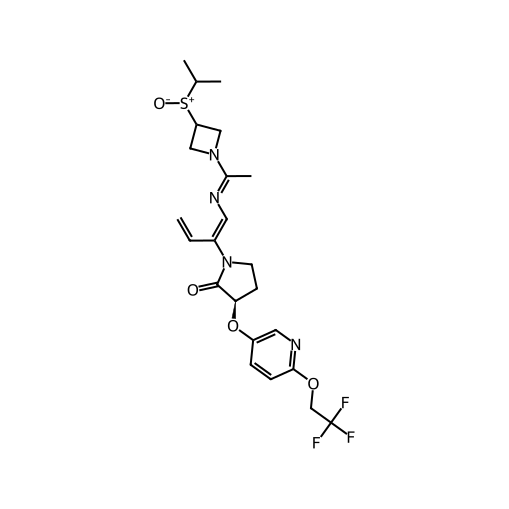 C=C/C(=C\N=C(/C)N1CC([S+]([O-])C(C)C)C1)N1CC[C@@H](Oc2ccc(OCC(F)(F)F)nc2)C1=O